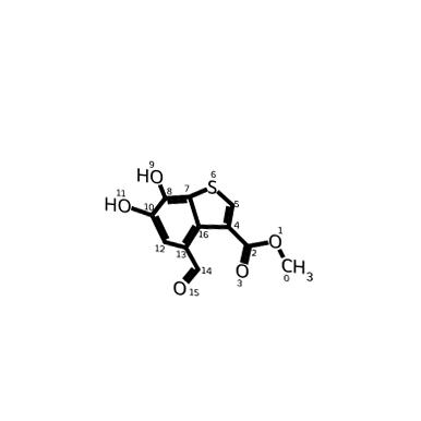 COC(=O)c1csc2c(O)c(O)cc(C=O)c12